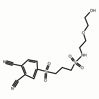 N#Cc1ccc(S(=O)(=O)CCCS(=O)(=O)NCCOCCO)cc1C#N